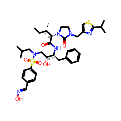 CC[C@H](C)[C@@H](C(=O)N[C@@H](Cc1ccccc1)[C@H](O)CN(CC(C)C)S(=O)(=O)c1ccc(C=NO)cc1)N1CCN(Cc2csc(C(C)C)n2)C1=O